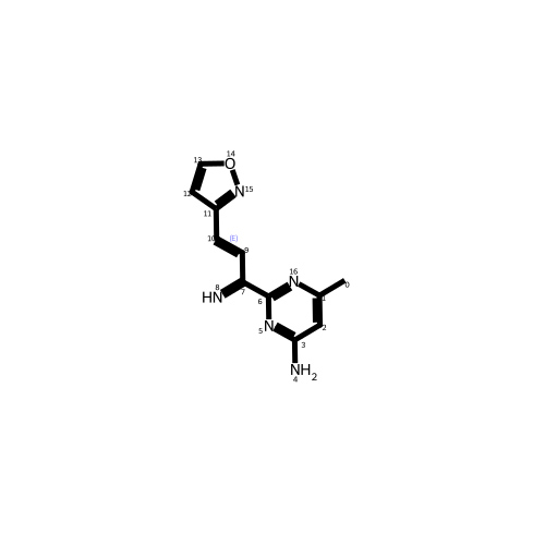 Cc1cc(N)nc(C(=N)/C=C/c2ccon2)n1